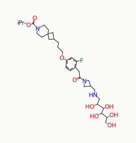 CC(C)OC(=O)N1CCC2(CC1)CC(CCCOc1ccc(CC(=O)N3CC(CNCC(O)C(O)C(O)C(O)CO)C3)c(F)c1)C2